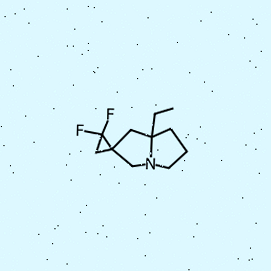 CCC12CCCN1CC1(C2)CC1(F)F